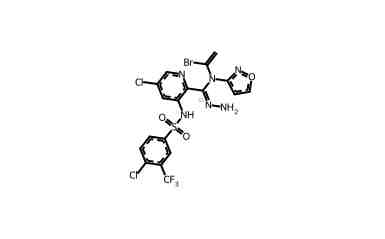 C=C(Br)N(/C(=N\N)c1ncc(Cl)cc1NS(=O)(=O)c1ccc(Cl)c(C(F)(F)F)c1)c1ccon1